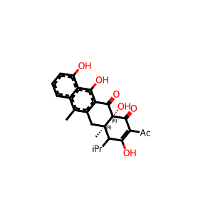 CC(=O)C1=C(O)C(C(C)C)[C@@]2(C)Cc3c(c(O)c4c(O)cccc4c3C)C(=O)[C@@]2(O)C1=O